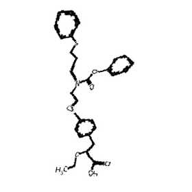 CCOC(Cc1ccc(OCCN(CCCSc2ccccc2)C(=O)Oc2ccccc2)cc1)C(=O)O